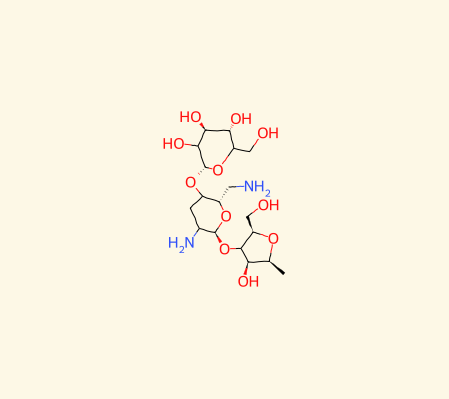 C[C@@H]1O[C@H](CO)C(O[C@@H]2O[C@@H](CN)C(O[C@H]3OC(CO)[C@@H](O)[C@H](O)C3O)CC2N)[C@@H]1O